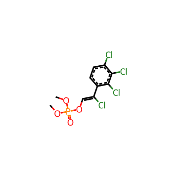 COP(=O)(OC)OC=C(Cl)c1ccc(Cl)c(Cl)c1Cl